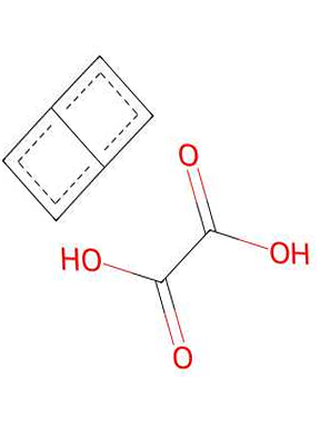 O=C(O)C(=O)O.c1cc2ccc1-2